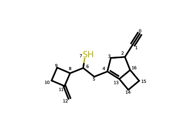 C#CC1CC(CC(S)C2CCC2=C)=C2CCC21